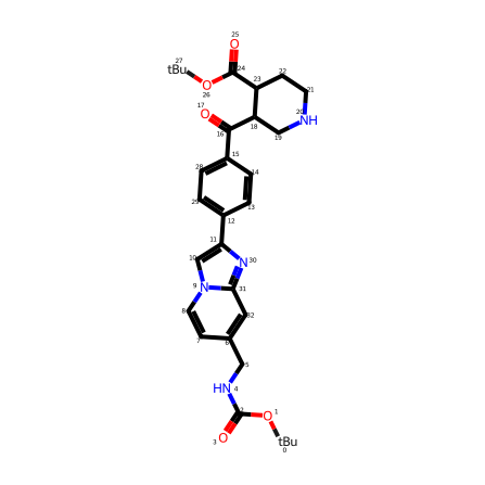 CC(C)(C)OC(=O)NCc1ccn2cc(-c3ccc(C(=O)C4CNCCC4C(=O)OC(C)(C)C)cc3)nc2c1